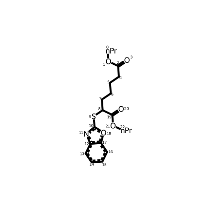 CCCOC(=O)CCCCC(Sc1nc2ccccc2o1)C(=O)OCCC